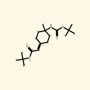 CC1(NC(=O)OC(C)(C)C)CCC(=CC(=O)OC(C)(C)C)CC1